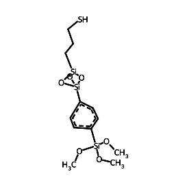 CO[Si](OC)(OC)c1ccc([Si]23O[Si](CCCS)(O2)O3)cc1